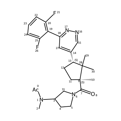 CC(=O)N(C)C1CCN(C(=O)[C@@]2(C)CC[C@H](c3cnnc(-c4c(F)cccc4F)c3)C2(C)C)C1